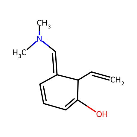 C=CC1C(O)=CC=CC1=CN(C)C